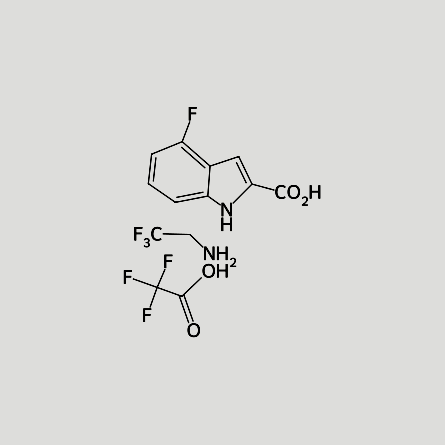 NCC(F)(F)F.O=C(O)C(F)(F)F.O=C(O)c1cc2c(F)cccc2[nH]1